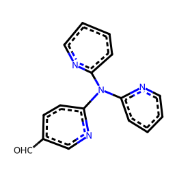 O=Cc1ccc(N(c2ccccn2)c2ccccn2)nc1